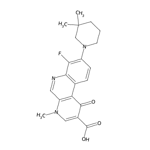 Cn1cc(C(=O)O)c(=O)c2c3ccc(N4CCCC(C)(C)C4)c(F)c3ncc21